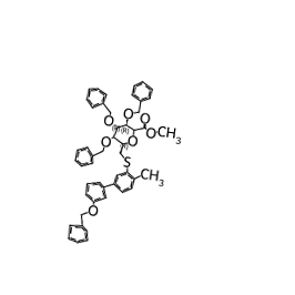 COC(=O)C1O[C@@H](CSc2cc(-c3cccc(OCc4ccccc4)c3)ccc2C)C(OCc2ccccc2)[C@H](OCc2ccccc2)[C@H]1OCc1ccccc1